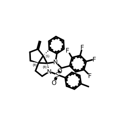 C=C1CC[C@]23CCN(S(=O)(=O)c4ccc(C)cc4)[C@]24N(Cc2cc(F)c(F)c(F)c2F)c2ccccc2[C@@]134